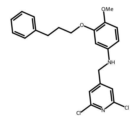 COc1ccc(NCc2cc(Cl)nc(Cl)c2)cc1OCCCc1ccccc1